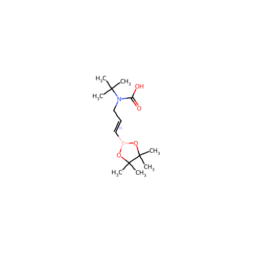 CC(C)(C)N(C/C=C/B1OC(C)(C)C(C)(C)O1)C(=O)O